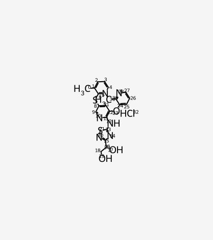 Cc1cccnc1Sc1cnc(Nc2nc([C@H](O)CO)ns2)c(Oc2cccnc2C)c1.Cl